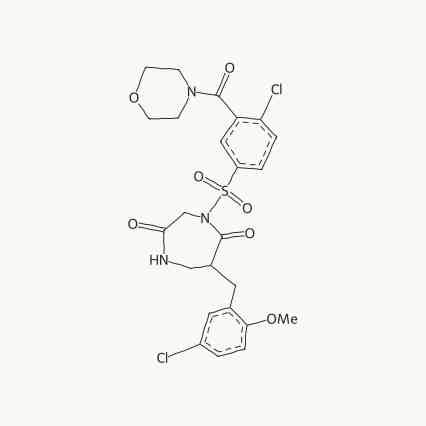 COc1ccc(Cl)cc1CC1CNC(=O)CN(S(=O)(=O)c2ccc(Cl)c(C(=O)N3CCOCC3)c2)C1=O